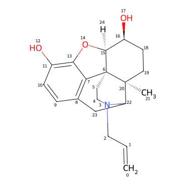 C=CCN1CC[C@]23c4c5ccc(O)c4O[C@H]2[C@@H](O)CC[C@@]3(C)C1C5